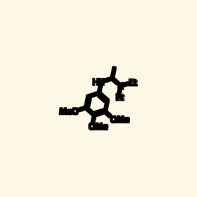 CCN(CC)C(C)Nc1cc(OC)c(OC)c(OC)c1